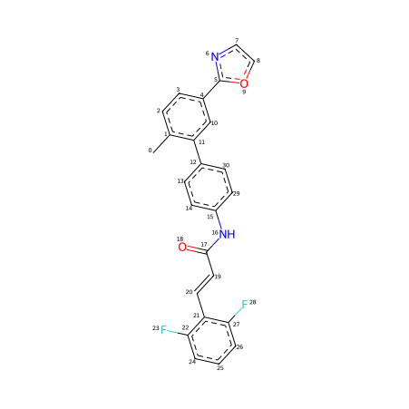 Cc1ccc(-c2ncco2)cc1-c1ccc(NC(=O)/C=C/c2c(F)cccc2F)cc1